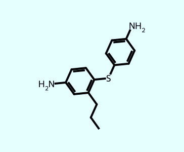 CCCc1cc(N)ccc1Sc1ccc(N)cc1